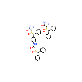 NC(=O)C[S+]([O-])C(c1ccccc1)c1ccccc1.NC(=O)C[S+]([O-])C(c1ccccc1)c1ccccc1.NC(=O)C[S+]([O-])C(c1ccccc1)c1ccccc1